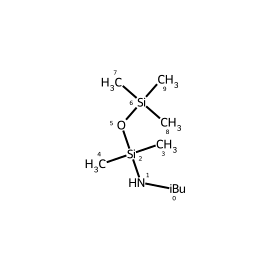 CCC(C)N[Si](C)(C)O[Si](C)(C)C